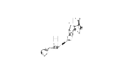 CNc1ncnc2c1ccn2C1CCC(C#CCNCCc2ccccc2)C1